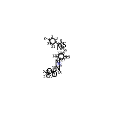 Cc1ccc(-c2csc(Cc3cc(C)c(/N=C/N(C)CC(=O)OC(C)(C)C)cc3C)n2)cc1